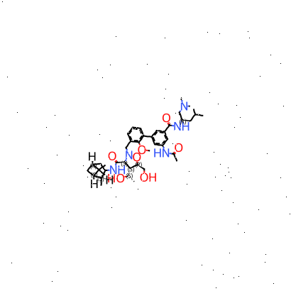 COc1c(CN2O[C@@H](CO)[C@H]([C@H](C)O)[C@H]2C(=O)NC2C[C@H]3C[C@@H]([C@@H]2C)C3(C)C)cccc1-c1cc(NC(C)=O)cc(C(=O)N[C@H](CC(C)C)CN(C)C)c1